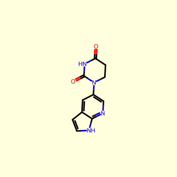 O=C1CCN(c2cnc3[nH]ccc3c2)C(=O)N1